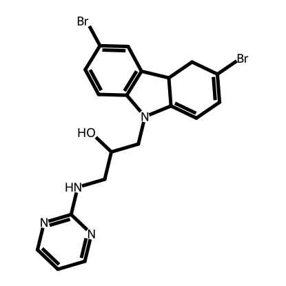 OC(CNc1ncccn1)CN1C2=CC=C(Br)CC2c2cc(Br)ccc21